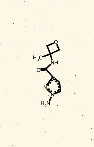 CC1(NC(=O)c2ccn(N)n2)COC1